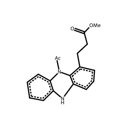 COC(=O)CCc1cccc2c1N(C(C)=O)c1ccccc1N2